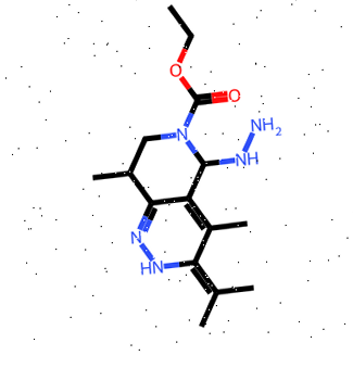 CCOC(=O)N1CC(C)C2=NNC(=C(C)C)C(C)=C2C1NN